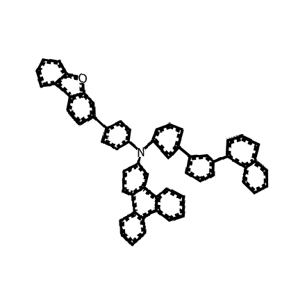 c1cc(-c2cccc(N(c3ccc(-c4ccc5c(c4)oc4ccccc45)cc3)c3ccc4c5ccccc5c5ccccc5c4c3)c2)cc(-c2cccc3ccccc23)c1